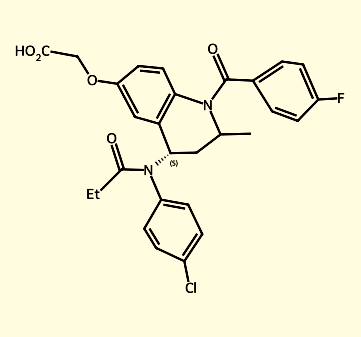 CCC(=O)N(c1ccc(Cl)cc1)[C@H]1CC(C)N(C(=O)c2ccc(F)cc2)c2ccc(OCC(=O)O)cc21